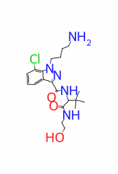 CC(C)(C)C(NC(=O)c1nn(CCCCN)c2c(Cl)cccc12)C(=O)NCCO